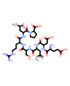 CC(C)CC(NC(=O)C(CC(=O)O)NC(=O)C(N)CCC(=O)O)C(=O)NC(CO)C(=O)NC(CCCNC(=N)N)C(=O)NC(CC(C)C)C(=O)N1CCCC1C(=O)O